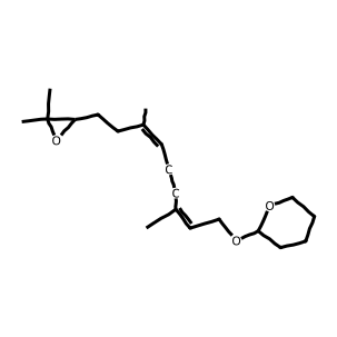 CC(=CCOC1CCCCO1)CCC=C(C)CCC1OC1(C)C